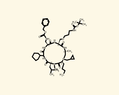 CCCC[C@H]1C(=O)N(C)[C@@H](CC(C)C)C(=O)NC(C2CCCCC2)C(=O)N[C@@H](CNC(=O)OCc2ccccc2)C(=O)N[C@@H](COCCCNC(=O)OC(C)(C)C)C(=O)N[C@H](C)CN1CC1CC1